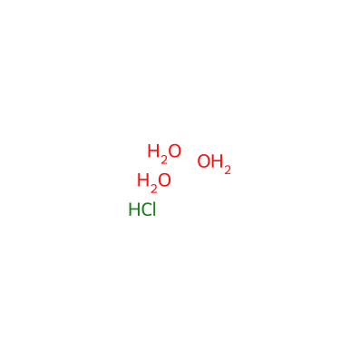 Cl.O.O.O